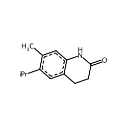 Cc1cc2c(cc1C(C)C)CCC(=O)N2